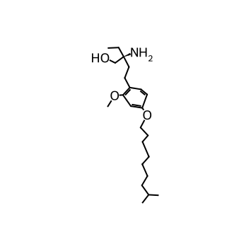 CC[C@@](N)(CO)CCc1ccc(OCCCCCCCC(C)C)cc1OC